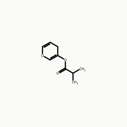 CC(C)C(=O)OC1=COC=CC1